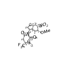 COc1cc2c(-n3c(=O)cc(C(F)(F)F)n(C)c3=O)coc2cc1[N+](=O)[O-]